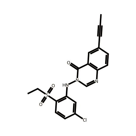 CC#Cc1ccc2ncn(Nc3cc(Cl)ccc3S(=O)(=O)CC)c(=O)c2c1